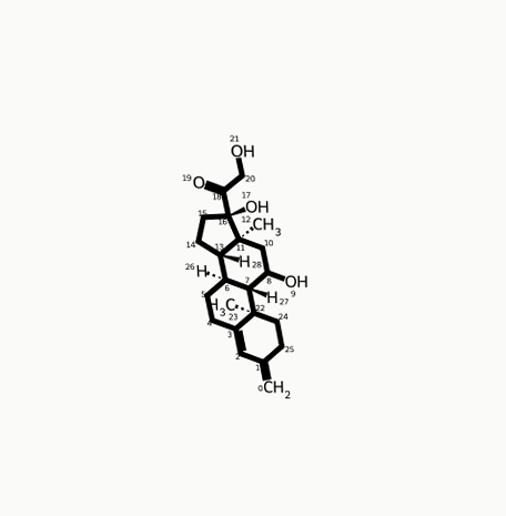 C=C1C=C2CC[C@@H]3[C@H](C(O)C[C@@]4(C)[C@H]3CC[C@]4(O)C(=O)CO)[C@@]2(C)CC1